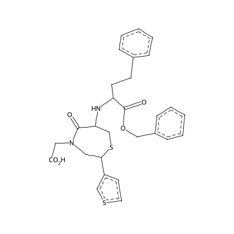 O=C(O)CN1CC(c2ccsc2)SCC(NC(CCc2ccccc2)C(=O)OCc2ccccc2)C1=O